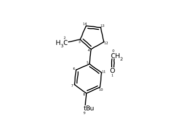 C=O.CC1=C(c2ccc(C(C)(C)C)cc2)CC=C1